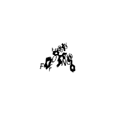 Cc1cc(-c2cc(NS(=O)(=O)c3c(C)noc3C)ccc2Oc2ccc(F)cc2F)c2ccn(S(=O)(=O)Cc3ccccc3)c2n1